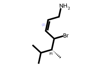 CC(C)[C@@H](C)C(Br)/C=C\CN